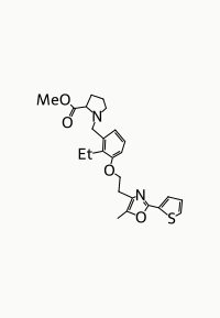 CCc1c(CN2CCCC2C(=O)OC)cccc1OCCc1nc(-c2cccs2)oc1C